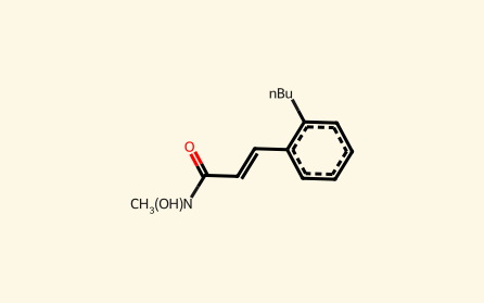 CCCCc1ccccc1/C=C/C(=O)N(C)O